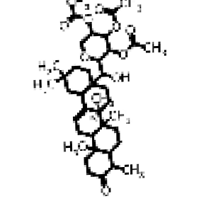 CC(=O)OC1COC(C(O)C23CCC(C)(C)CC2C2=CCC4C5(C)CCC(=O)C(C)C5CCC4(C)[C@]2(C)CC3)C(OC(C)=O)C1OC(C)=O